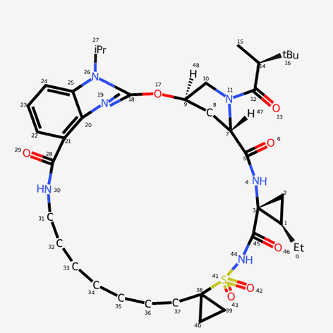 CC[C@@H]1C[C@@]12NC(=O)[C@@H]1C[C@H](CN1C(=O)[C@@H](C)C(C)(C)C)Oc1nc3c(cccc3n1C(C)C)C(=O)NCCCCCCCC1(CC1)S(=O)(=O)NC2=O